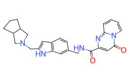 O=C(NCc1ccc2cc(CN3CC4CCCC4C3)[nH]c2c1)c1cc(=O)n2ccccc2n1